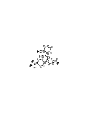 O=C(Nc1cc(C(F)(F)F)ccc1OCC(F)(F)C(F)F)c1ccccc1O